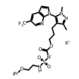 Cc1nn(C)c(-n2ccc3cc(C(F)(F)F)cnc32)c1CCCOC(=O)[N-]S(=O)(=O)NCCOC(C)C.[K+]